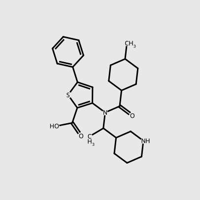 CC1CCC(C(=O)N(c2cc(-c3ccccc3)sc2C(=O)O)C(C)C2CCCNC2)CC1